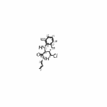 C=CCNC(=O)C(CCCl)Nc1c(C)cccc1C